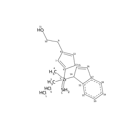 Cl.Cl.[CH3][Zr]([CH3])(=[SiH2])([C]1=CC(CCO)=CC1)[CH]1C=Cc2ccccc21